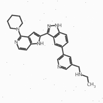 CCNCc1cncc(-c2ccc3[nH]nc(-c4cc5c(N6CCCCC6)nccc5[nH]4)c3c2)c1